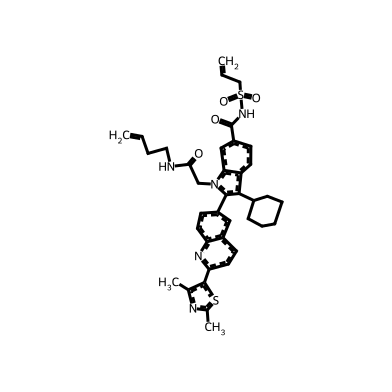 C=CCCNC(=O)Cn1c(-c2ccc3nc(-c4sc(C)nc4C)ccc3c2)c(C2CCCCC2)c2ccc(C(=O)NS(=O)(=O)CC=C)cc21